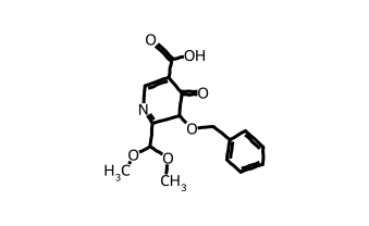 COC(OC)C1=NC=C(C(=O)O)C(=O)C1OCc1ccccc1